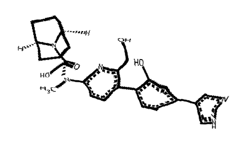 CN(c1ccc(-c2ccc(-c3cn[nH]c3)cc2O)c(CO)n1)[C@@H]1C[C@H]2CC[C@@H](C1)N2C(=O)O